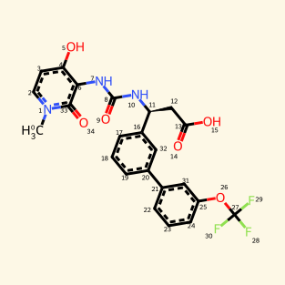 Cn1ccc(O)c(NC(=O)N[C@@H](CC(=O)O)c2cccc(-c3cccc(OC(F)(F)F)c3)c2)c1=O